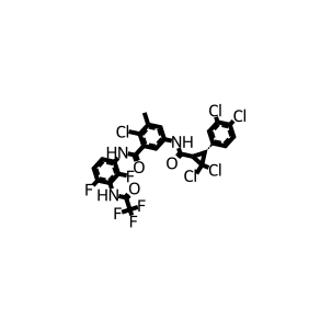 Cc1cc(NC(=O)C2[C@H](c3ccc(Cl)c(Cl)c3)C2(Cl)Cl)cc(C(=O)Nc2ccc(F)c(NC(=O)C(F)(F)F)c2F)c1Cl